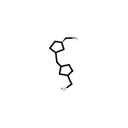 CCC1CCC(CC2CC[C@@H](CN)C2)C1